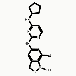 CCc1cc(Nc2nccc(NC3CCCC3)n2)cc2c1B(O)OC2